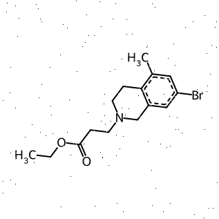 CCOC(=O)CCN1CCc2c(C)cc(Br)cc2C1